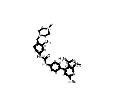 CN1CCN(Cc2ccc(NC(=O)Nc3ccc(-c4cc(C(C)(C)C)nc5c4c(N)nn5C)cc3)cc2C(F)(F)F)CC1